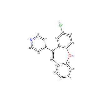 Brc1ccc2c(c1)C(c1ccncc1)=Cc1ccccc1O2